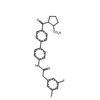 O=C(Cc1cc(F)cc(F)c1)Nc1ccc(-c2ccc(C(=O)C3CCCC3C(=O)O)cc2)cc1